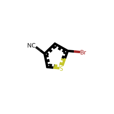 N#Cc1csc(Br)c1